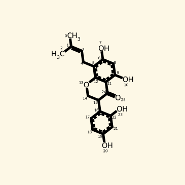 CC(C)=CCc1c(O)cc(O)c2c1OCC(c1ccc(O)cc1O)C2=O